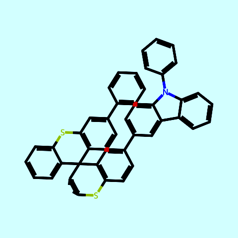 c1ccc(-c2ccc3c(c2)Sc2ccccc2C32c3ccccc3Sc3ccc(-c4ccc5c(c4)c4ccccc4n5-c4ccccc4)cc32)cc1